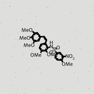 COc1ccc(S(=O)(=O)Nc2c(/C=C\c3cc(OC)c(OC)c(OC)c3)ccc(OC)c2OC)cc1[N+](=O)[O-]